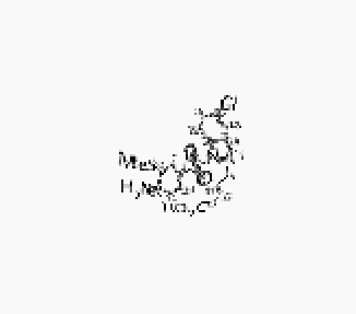 CSc1cc(S(=O)(=O)n2c(CCCC(=O)O)cc3cc(Cl)ccc32)ccc1N